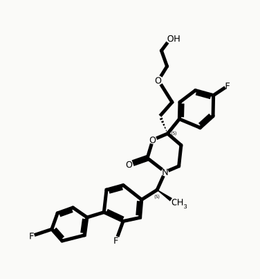 C[C@@H](c1ccc(-c2ccc(F)cc2)c(F)c1)N1CC[C@](CCOCCO)(c2ccc(F)cc2)OC1=O